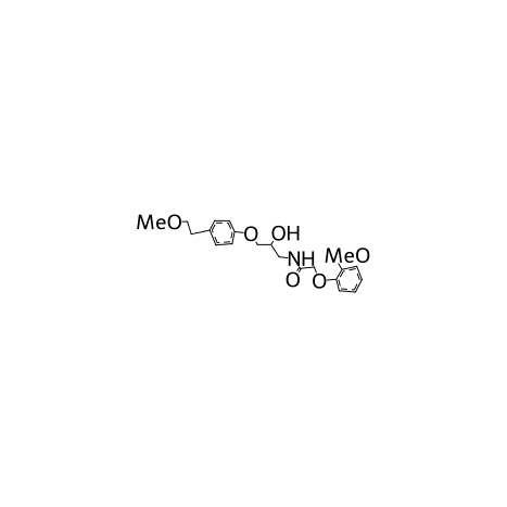 COCCc1ccc(OCC(O)CNC(=O)COc2ccccc2OC)cc1